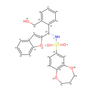 O=S(=O)(N[C@H](c1cc2ccccc2o1)c1ccccc1CO)c1ccc2c(c1)OCCCO2